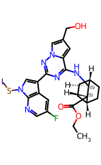 CCOC(=O)[C@H]1[C@H]2CC[C@H](CC2)[C@@H]1Nc1nc(-c2cn(SI)c3ncc(F)cc23)nn2cc(CO)cc12